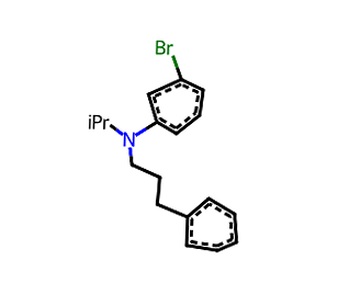 CC(C)N(CCCc1ccccc1)c1cccc(Br)c1